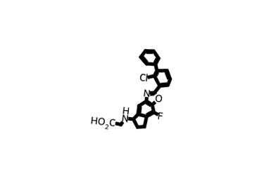 O=C(O)CNC1CCc2c1cc1nc(-c3cccc(-c4ccccc4)c3Cl)oc1c2F